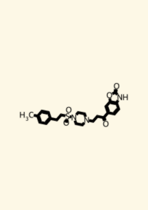 Cc1ccc(CCS(=O)(=O)N2CCN(CCC(=O)c3ccc4[nH]c(=O)oc4c3)CC2)cc1